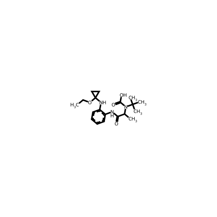 CCOC1(Nc2ccccc2NC(=O)C(C)N(C(=O)O)C(C)(C)C)CC1